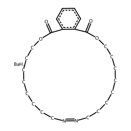 O=C1OCCCCCCCCN=NCCCCCCCCOC(=O)c2ccccc21.[BaH2]